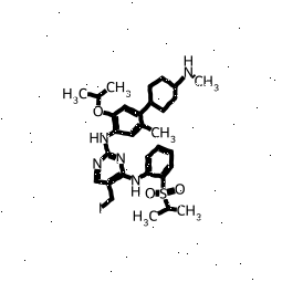 CNC1CCC(c2cc(OC(C)C)c(Nc3ncc(CI)c(Nc4ccccc4S(=O)(=O)C(C)C)n3)cc2C)CC1